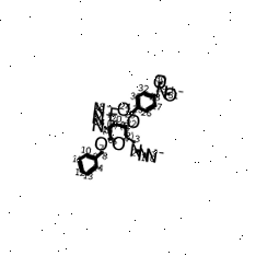 [N-]=[N+]=NC[C@H]1OC(OCc2ccccc2)[C@H](N=[N+]=[N-])[C@@H](F)[C@H]1OC(=O)c1ccc([N+](=O)[O-])cc1